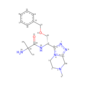 CN1CCn2c(nnc2[C@@H](COCc2ccccc2)NC(=O)C(C)(C)N)C1